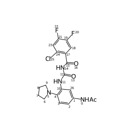 CC(=O)Nc1ccc(N2CCCC2)c(NC(=O)NC(=O)c2cc(F)c(F)cc2Cl)c1